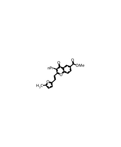 CCCc1c(C=Cc2ccc(C)o2)oc2ccc(C(=O)OC)cc2c1=O